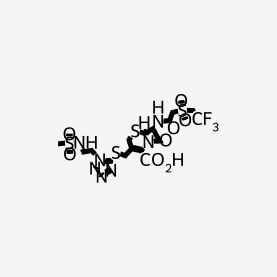 CS(=O)(=O)NCCn1nnnc1SCC1=C(C(=O)O)N2C(=O)[C@@H](NC(=O)CS(=O)(=O)CC(F)(F)F)[C@H]2SC1